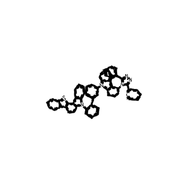 c1ccc(-c2nnc(-c3ccccc3)n2-c2cccc3c2c2ccccc2n3-c2cccc(-c3ccccc3-n3c4ccccc4c4c5sc6ccccc6c5ccc43)c2)cc1